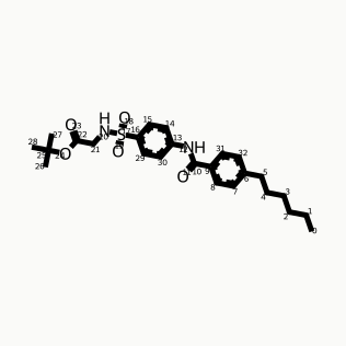 CCCCCCc1ccc(C(=O)Nc2ccc(S(=O)(=O)NCC(=O)OC(C)(C)C)cc2)cc1